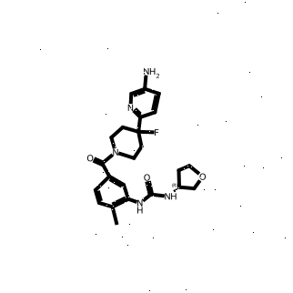 Cc1ccc(C(=O)N2CCC(F)(c3ccc(N)cn3)CC2)cc1NC(=O)N[C@@H]1CCOC1